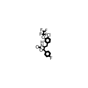 O=C1NC(Cc2ccc(Cl)c(OC(F)(F)C(F)F)c2)C(c2ccc(F)cc2)O1